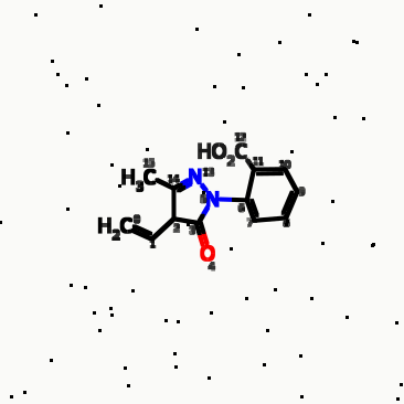 C=CC1C(=O)N(c2ccccc2C(=O)O)N=C1C